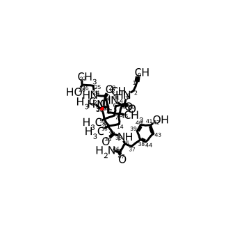 C#CCNC(=O)CCC(C)(C#N)C(C)(CC(C)(CC(C)(CC)C(=O)NCC(C)O)C(=O)NC)C(=O)NC(Cc1ccc(O)cc1)C(N)=O